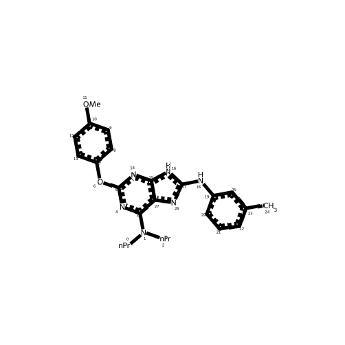 CCCN(CCC)c1nc(Oc2ccc(OC)cc2)nc2[nH]c(Nc3cccc(C)c3)nc12